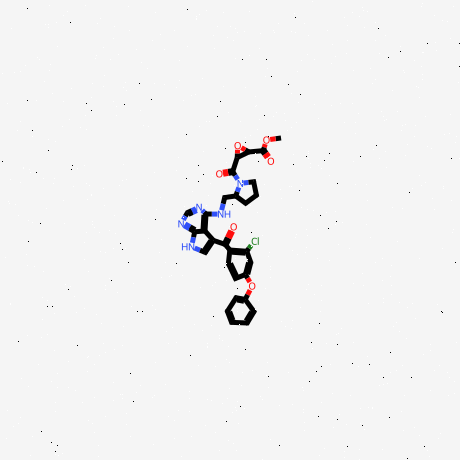 COC(=O)C1OC1C(=O)N1CCCC1CNc1ncnc2[nH]cc(C(=O)c3ccc(Oc4ccccc4)cc3Cl)c12